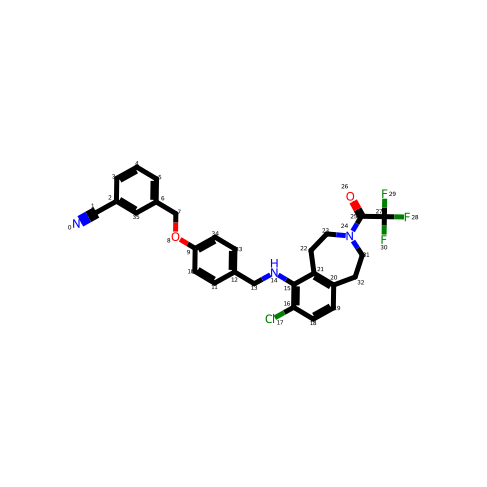 N#Cc1cccc(COc2ccc(CNc3c(Cl)ccc4c3CCN(C(=O)C(F)(F)F)CC4)cc2)c1